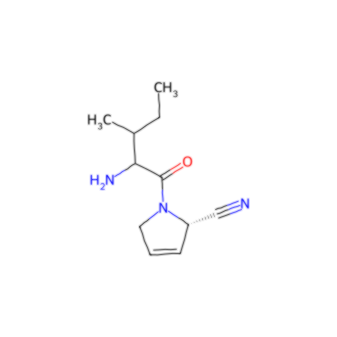 CCC(C)C(N)C(=O)N1CC=C[C@H]1C#N